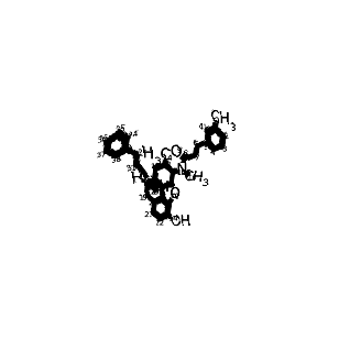 Cc1cccc(CCC(=O)N(C)C2C(C)C[C@@]3(O)[C@H]4Cc5ccc(O)c6c5[C@@]3(CCN4CCc3ccccc3)C2O6)c1